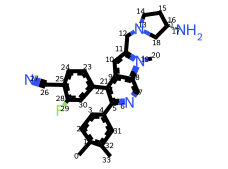 Cc1ccc(-c2ncc3c(cc(CN4CC[C@H](N)C4)n3C)c2-c2ccc(C#N)c(F)c2)cc1C